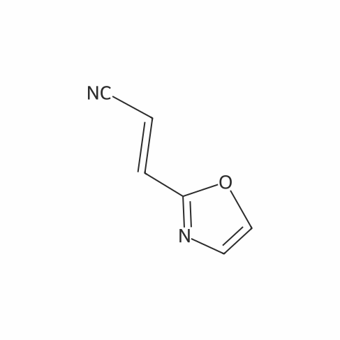 N#CC=Cc1ncco1